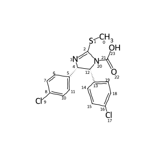 CSC1=N[C@@H](c2ccc(Cl)cc2)[C@@H](c2ccc(Cl)cc2)N1C(=O)O